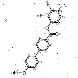 CCCOc1ccc(-c2ccc(C(=O)Oc3ccc(C#N)c(F)c3F)cc2)cc1